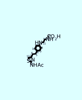 CC(=O)Nc1nc(CCc2ccc(NCCNC(=O)O)cc2)cs1